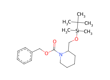 CC(C)(C)[Si](C)(C)OCC1CCCCN1C(=O)OCc1ccccc1